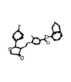 Cc1cc(C(=O)Oc2cccc3c2CCC3)ccc1CCC1C(=O)CSC1c1ccc(F)cc1